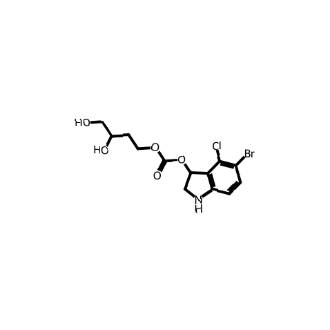 O=C(OCCC(O)CO)OC1CNc2ccc(Br)c(Cl)c21